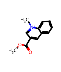 COC(=O)c1cc2ccccc2[n+](C)c1